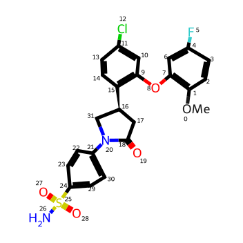 COc1ccc(F)cc1Oc1cc(Cl)ccc1[C@H]1CC(=O)N(c2ccc(S(N)(=O)=O)cc2)C1